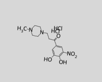 CN1CCN(CCC(=O)c2cc(O)c(O)c([N+](=O)[O-])c2)CC1.Cl.Cl